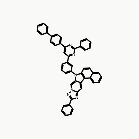 c1ccc(-c2ccc(-c3cc(-c4cccc(-n5c6cn7nc(-c8ccccc8)nc7cc6c6c7ccccc7ccc65)c4)nc(-c4ccccc4)n3)cc2)cc1